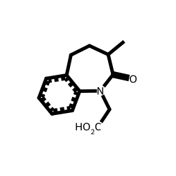 CC1CCc2ccccc2N(CC(=O)O)C1=O